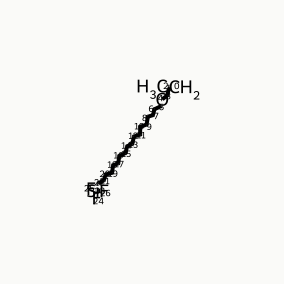 C=C(C)COCCCCCCCCCCCCCCCCCC[Si](F)(F)F